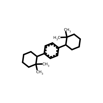 CC1(C)CCCCC1c1ccc(C2CCCCC2(C)C)cc1